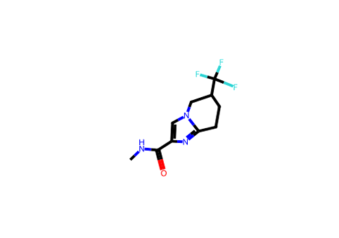 CNC(=O)c1cn2c(n1)CCC(C(F)(F)F)C2